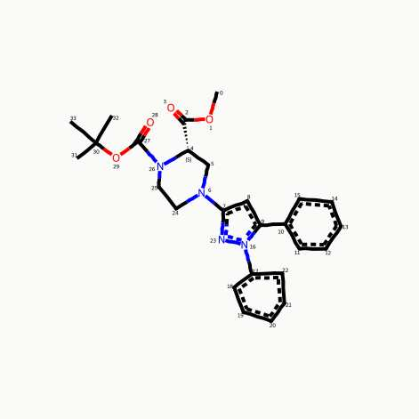 COC(=O)[C@@H]1CN(c2cc(-c3ccccc3)n(-c3ccccc3)n2)CCN1C(=O)OC(C)(C)C